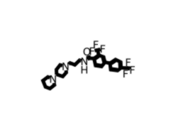 O=C(NCCCN1CCC(N2CCCCC2)CC1)c1ccc(-c2ccc(C(F)(F)F)cc2)cc1C(F)(F)F